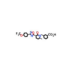 Cc1ccc(-c2nc(-c3ccc(OC(F)(F)F)cc3)no2)c(=O)n1Cc1cccc(C(=O)O)c1